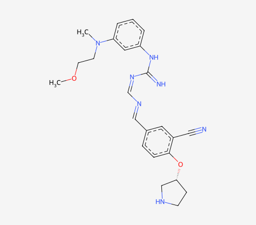 COCCN(C)c1cccc(NC(=N)/N=C\N=C\c2ccc(O[C@@H]3CCNC3)c(C#N)c2)c1